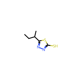 CCC(C)c1nnc(S)s1